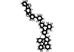 c1ccc(C2(c3ccccc3)c3ccccc3-c3ccc(-c4ccc5c6ccc(-c7cccc(-c8ccc9oc%10cc%11c(cc%10c9c8)oc8ccccc8%11)c7)cc6c6ccccc6c5c4)cc32)cc1